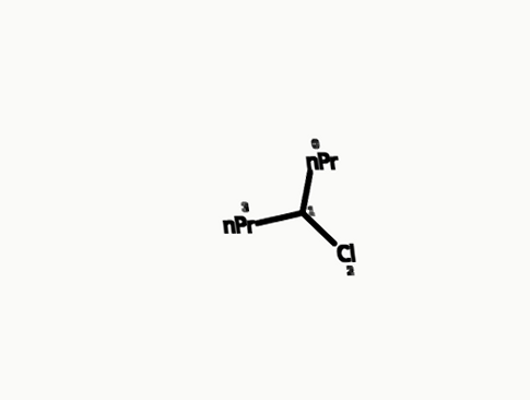 [CH2]CCC(Cl)CCC